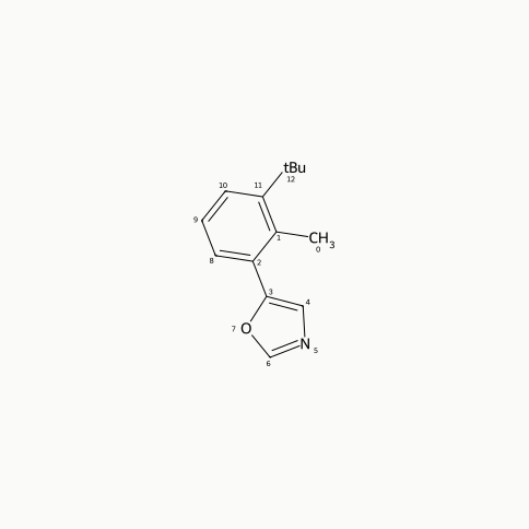 Cc1c(-c2cnco2)cccc1C(C)(C)C